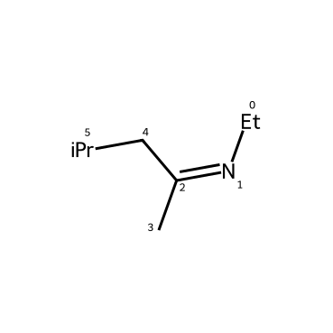 CCN=C(C)CC(C)C